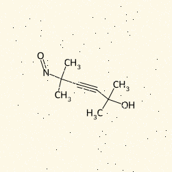 CC(C)(O)C#CC(C)(C)N=O